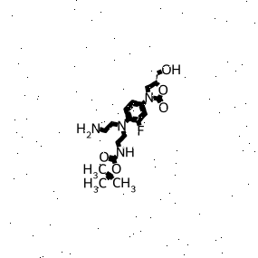 CC(C)(C)OC(=O)NCCN(CCN)c1ccc(N2C[C@H](CO)OC2=O)cc1F